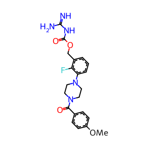 COc1ccc(C(=O)N2CCN(c3cccc(COC(=O)NC(=N)N)c3F)CC2)cc1